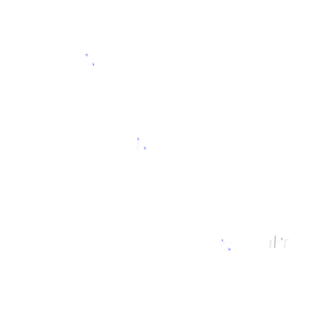 CC(C)N1CCCC(N2CCN(C)CC2)C1